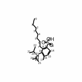 CCCCCCCCc1c(S(=O)(=O)O)ccc(C)c1[SiH](C(C)C)C(C)C